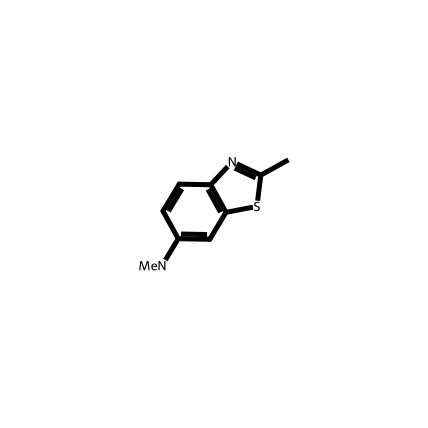 CNc1ccc2nc(C)sc2c1